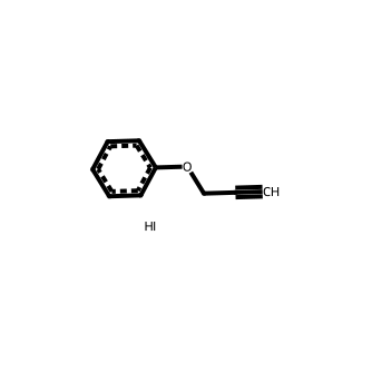 C#CCOc1ccccc1.I